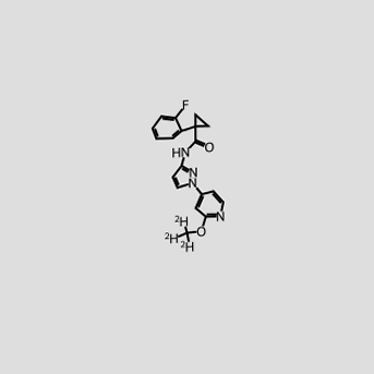 [2H]C([2H])([2H])Oc1cc(-n2ccc(NC(=O)C3(c4ccccc4F)CC3)n2)ccn1